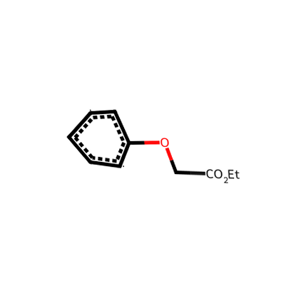 CCOC(=O)COc1[c]cc[c]c1